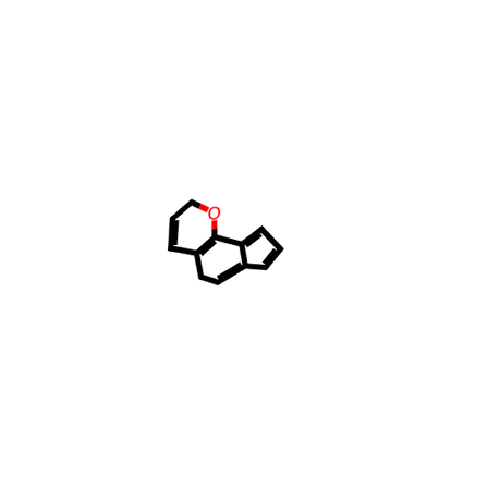 C1=CC2=CCC3=C(OCC=C3)C2=C1